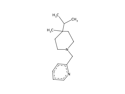 CC(C)C1(C)CCN(Cc2ccccn2)CC1